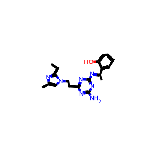 CCc1nc(C)cn1CCc1nc(N)nc(/N=C(\C)c2ccccc2O)n1